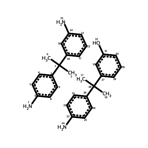 CC(C)(c1ccc(N)cc1)c1cccc(N)c1.CC(C)(c1ccc(N)cc1)c1cccc(O)c1